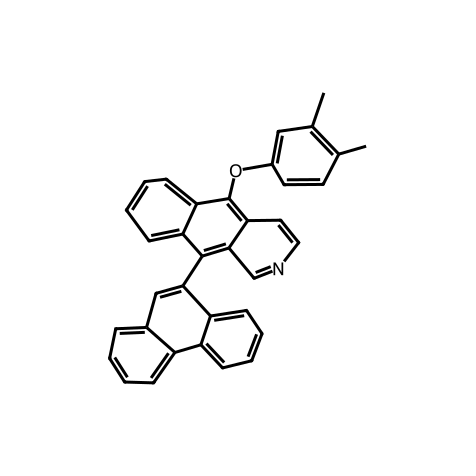 Cc1ccc(Oc2c3ccccc3c(-c3cc4ccccc4c4ccccc34)c3cnccc23)cc1C